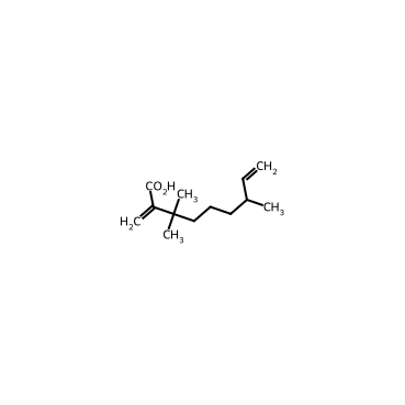 C=CC(C)CCCC(C)(C)C(=C)C(=O)O